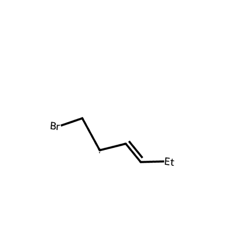 CCC=C[CH]CBr